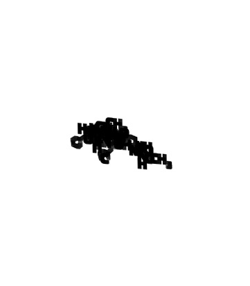 COC(=O)Nc1nc2cc(S(=O)(=O)N(CC(C)C)C[C@@H](O)[C@H](Cc3ccccc3)NC(=O)[C@@H](NC(=O)OCc3ccccc3)C(C)(C)C)ccc2[nH]1